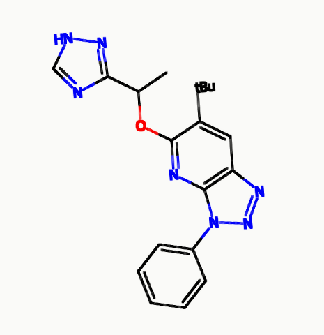 CC(Oc1nc2c(cc1C(C)(C)C)nnn2-c1ccccc1)c1nc[nH]n1